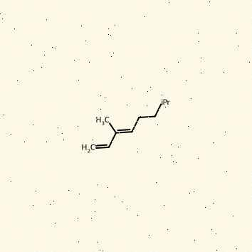 C=C/C(C)=C/CCC(C)C